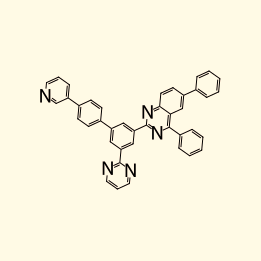 c1ccc(-c2ccc3nc(-c4cc(-c5ccc(-c6cccnc6)cc5)cc(-c5ncccn5)c4)nc(-c4ccccc4)c3c2)cc1